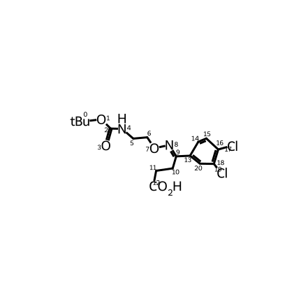 CC(C)(C)OC(=O)NCCO/N=C(\CCC(=O)O)c1ccc(Cl)c(Cl)c1